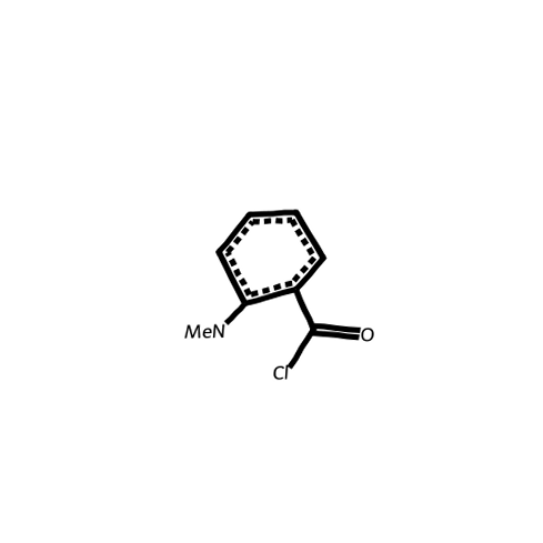 CNc1ccccc1C(=O)Cl